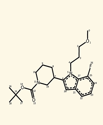 COCCCn1c(C2CCCN(C(=O)OC(C)(C)C)C2)cc2cccc(F)c21